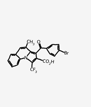 Cc1cc2ccccc2n2c(C(F)(F)F)c(C(=O)O)c(C(=O)c3ccc(Br)cc3)c12